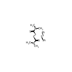 CC(C)SSC(C)C.CN(C)C(=S)SSC(=S)N(C)C